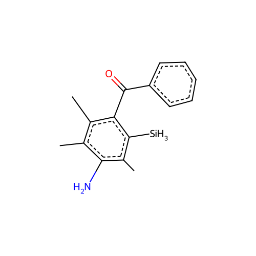 Cc1c(C)c(C(=O)c2ccccc2)c([SiH3])c(C)c1N